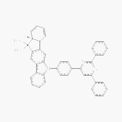 CC1(C)c2cc3c4ccccc4n(-c4ccc(-c5cc(-c6ccccc6)nc(-c6ccccc6)n5)cc4)c3cc2C2C=CC=C[C@H]21